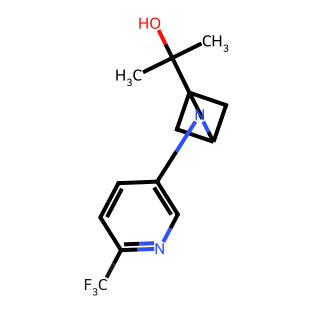 CC(C)(O)C12CC(C1)N(c1ccc(C(F)(F)F)nc1)C2